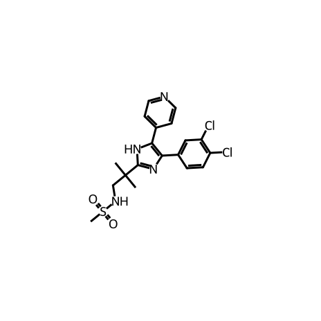 CC(C)(CNS(C)(=O)=O)c1nc(-c2ccc(Cl)c(Cl)c2)c(-c2ccncc2)[nH]1